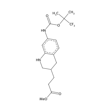 COC(=O)CCC1CNc2cc(NC(=O)OC(C)(C)C(F)(F)F)ccc2C1